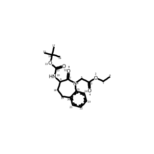 CCOC(=O)CN1C(=O)C(NC(=O)OC(C)(C)C)CCc2ccccc21